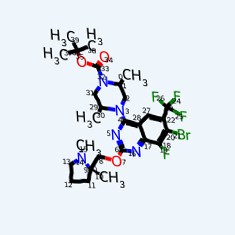 CC1CN(c2nc(OC[C@]3(C)CCCN3C)nc3c(F)c(Br)c(C(F)(F)F)cc23)C(C)CN1C(=O)OC(C)(C)C